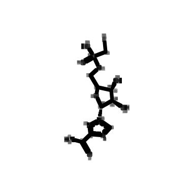 NC(=O)c1ncn([C@@H]2OC(COP(=O)(O)CF)[C@@H](O)[C@H]2O)n1